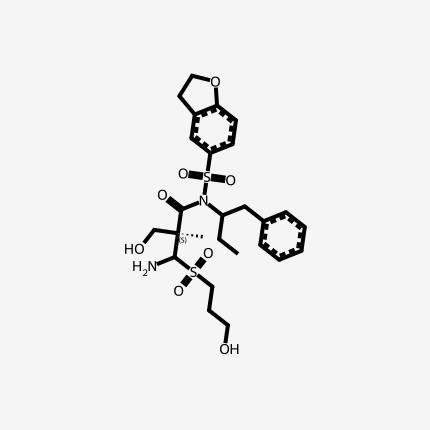 CCC(Cc1ccccc1)N(C(=O)[C@](C)(CO)C(N)S(=O)(=O)CCCO)S(=O)(=O)c1ccc2c(c1)CCO2